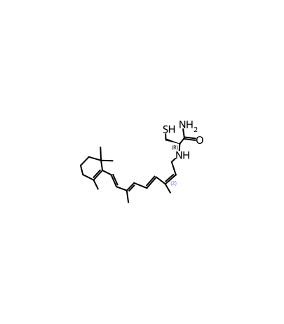 CC(C=CC1=C(C)CCCC1(C)C)=CC=C/C(C)=C\CN[C@@H](CS)C(N)=O